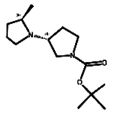 C[C@@H]1CCCN1[C@@H]1CCN(C(=O)OC(C)(C)C)C1